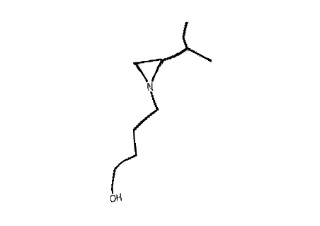 CC(C)C1CN1CCCCO